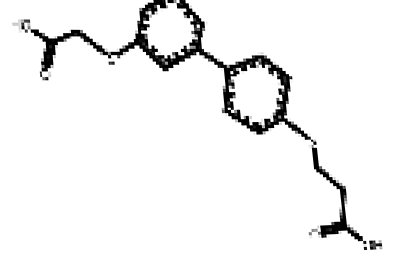 O=C(O)CCSc1ccc(-c2[c]ccc(SCC(=O)O)c2)cc1